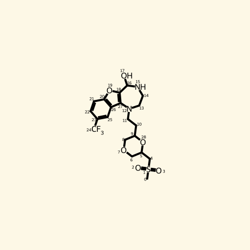 CS(=O)(=O)CC1COCC(CCN2CCNC(O)c3oc4ccc(C(F)(F)F)cc4c32)O1